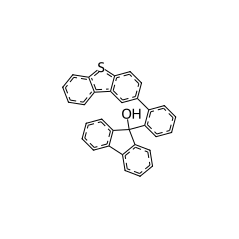 OC1(c2ccccc2-c2ccc3sc4ccccc4c3c2)c2ccccc2-c2ccccc21